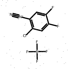 F[B-](F)(F)F.N#[N+]c1cc(F)c(F)cc1Cl